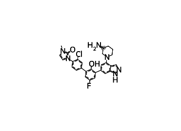 Cn1ccn(-c2ccc(-c3cc(F)cc(-c4cc(N5CCC[C@H](N)C5)c5cn[nH]c5c4)c3O)cc2Cl)c1=O